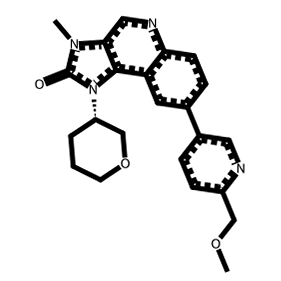 COCc1ccc(-c2ccc3ncc4c(c3c2)n([C@H]2CCCOC2)c(=O)n4C)cn1